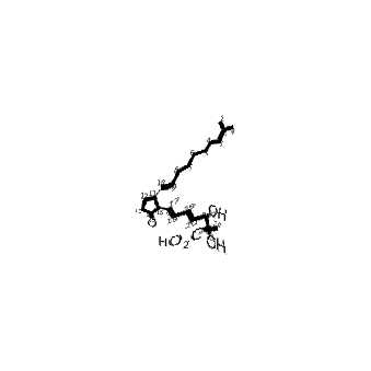 CC(C)=CCCCCC/C=C/[C@H]1CCC(=O)[C@@H]1CCCCC(O)C(C)(O)C(=O)O